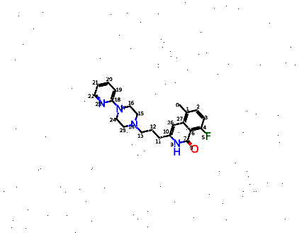 Cc1ccc(F)c2c(=O)[nH]c(CCCN3CCN(c4ccccn4)CC3)cc12